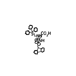 O=C(O)CCC(NC(=O)OCC1c2ccccc2-c2ccccc21)C(=O)NCCSC(c1ccccc1)(c1ccccc1)c1ccccc1